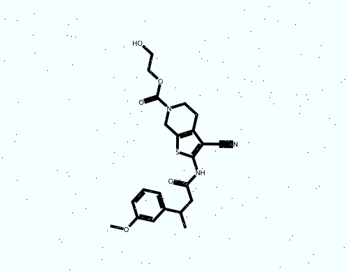 COc1cccc(C(C)CC(=O)Nc2sc3c(c2C#N)CCN(C(=O)OCCO)C3)c1